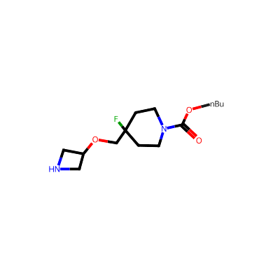 CCCCOC(=O)N1CCC(F)(COC2CNC2)CC1